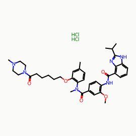 COc1cc(C(=O)N(C)c2ccc(C)cc2OCCCCCC(=O)N2CCN(C)CC2)ccc1NC(=O)c1cccc2[nH]c(C(C)C)nc12.Cl.Cl